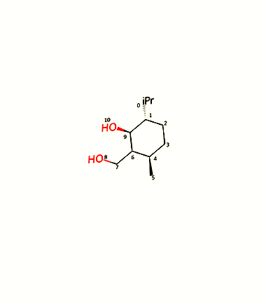 CC(C)[C@@H]1CC[C@@H](C)C(CO)[C@H]1O